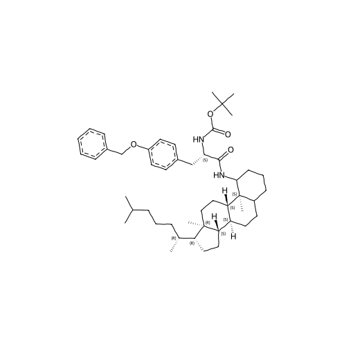 CC(C)CCC[C@@H](C)[C@H]1CC[C@H]2[C@@H]3CCC4CCCC(NC(=O)[C@H](Cc5ccc(OCc6ccccc6)cc5)NC(=O)OC(C)(C)C)[C@]4(C)[C@H]3CC[C@]12C